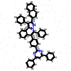 c1ccc(-c2cc(-c3ccccc3)nc(-c3ccc(-c4c(-c5ccccc5)n5nc(-c6ccc7ccccc7c6)c(-c6ccccc6)c5c5ccccc45)cc3)n2)cc1